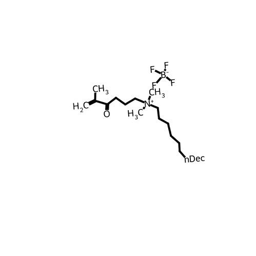 C=C(C)C(=O)CCC[N+](C)(C)CCCCCCCCCCCCCCCC.F[B-](F)(F)F